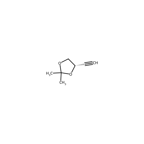 C#C[C@H]1COC(C)(C)O1